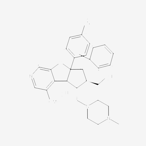 COc1cncc2c1[C@]1(O)[C@@H](CN3CCN(C)CC3)[C@H](CO)[C@@H](C3(C)C=CC=CC3)C1(c1ccc(C#N)cc1)O2